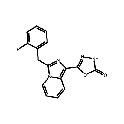 O=c1[nH]nc(-c2nc(Cc3ccccc3F)n3ccccc23)o1